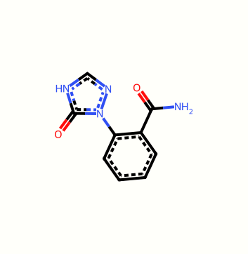 NC(=O)c1ccccc1-n1nc[nH]c1=O